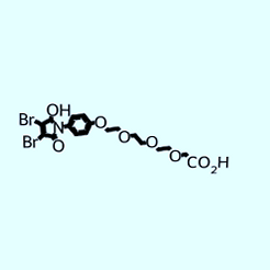 O=C(O)COCCOCCOCCOc1ccc(N2C(=O)C(Br)=C(Br)C2O)cc1